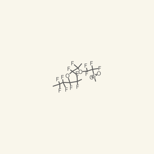 CC(F)(F)C(F)(F)C(F)(OC(F)(F)C(C)(F)OC(F)(F)C(F)(F)S(C)(=O)=O)C(C)(F)F